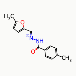 Cc1ccc(C(=O)N/N=C/c2ccc(C)o2)cc1